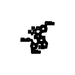 COC[C@@H]1C[C@@H](OC)CN1c1c2c(nc3c(-c4ccc(OC)cc4C)c(C)nn13)CCN2